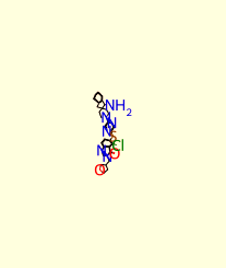 N[C@H]1c2ccccc2CC12CCN(c1cnc(Sc3ccc4ncn(CC5CCOC5)c(=O)c4c3Cl)cn1)CC2